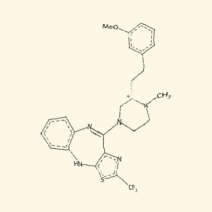 COc1cccc(CC[C@H]2CN(C3=Nc4ccccc4Nc4sc(C(F)(F)F)nc43)CCN2C)c1